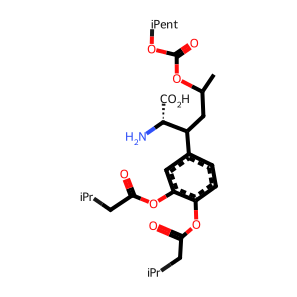 CCCC(C)OC(=O)OC(C)CC(c1ccc(OC(=O)CC(C)C)c(OC(=O)CC(C)C)c1)[C@H](N)C(=O)O